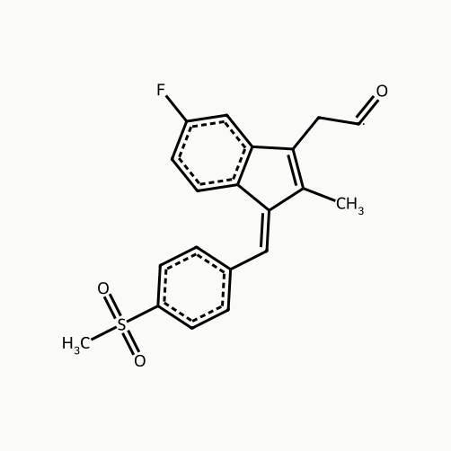 CC1=C(C[C]=O)c2cc(F)ccc2/C1=C\c1ccc(S(C)(=O)=O)cc1